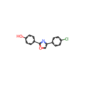 Oc1ccc(-c2nc(-c3ccc(Cl)cc3)co2)cc1